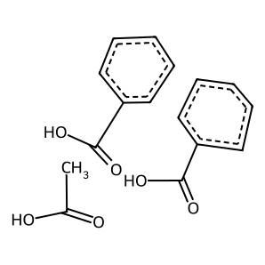 CC(=O)O.O=C(O)c1ccccc1.O=C(O)c1ccccc1